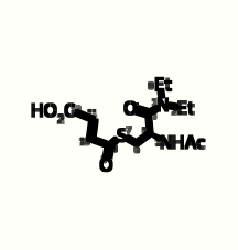 CCN(CC)C(=O)[C@H](CSC(=O)/C=C/C(=O)O)NC(C)=O